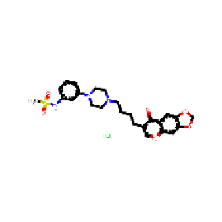 CS(=O)(=O)Nc1cccc(N2CCN(CCCCc3coc4cc5c(cc4c3=O)OCO5)CC2)c1.Cl